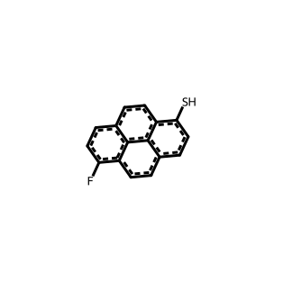 Fc1ccc2ccc3c(S)ccc4ccc1c2c43